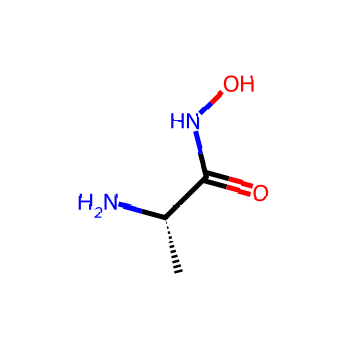 C[C@H](N)C(=O)NO